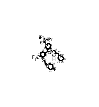 CC(C)N(C(=O)N1CCc2c(c(-c3ccc(C(F)(F)F)c(SCCN4CCC(F)CC4)c3)nn2C[C@H](O)CN2CCCCC2)C1)C(C)C